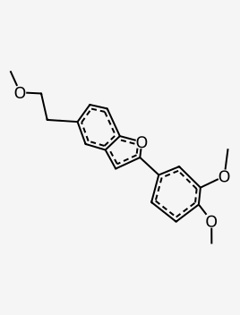 COCCc1ccc2oc(-c3ccc(OC)c(OC)c3)cc2c1